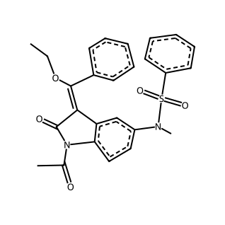 CCO/C(=C1\C(=O)N(C(C)=O)c2ccc(N(C)S(=O)(=O)c3ccccc3)cc21)c1ccccc1